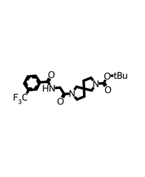 CC(C)(C)OC(=O)N1CCC2(CCN(C(=O)CNC(=O)c3cccc(C(F)(F)F)c3)C2)C1